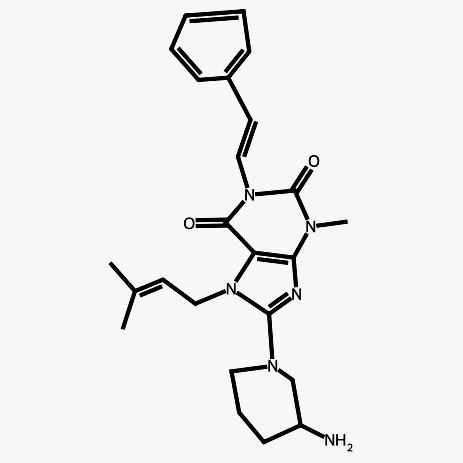 CC(C)=CCn1c(N2CCCC(N)C2)nc2c1c(=O)n(C=Cc1ccccc1)c(=O)n2C